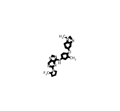 Cc1cc(Nc2ncnc3cnc(N4CCCC4C(F)(F)F)nc23)ccc1Oc1ccc2c(c1)ncn2C